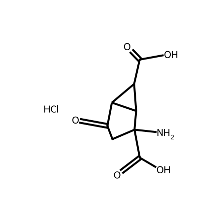 Cl.NC1(C(=O)O)CC(=O)C2C(C(=O)O)C21